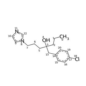 CCCC(O)(CCCn1ccnc1)Cc1ccc(Cl)cc1